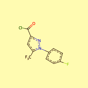 O=C(Cl)c1cc(C(F)(F)F)n(-c2ccc(F)cc2)n1